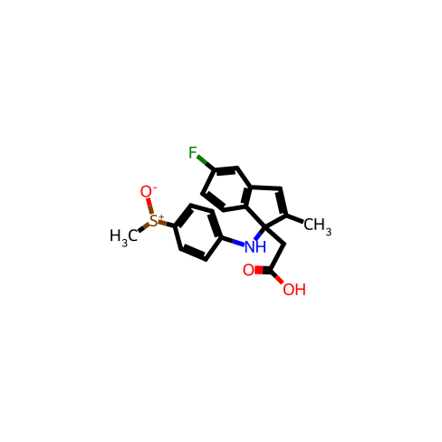 CC1=Cc2cc(F)ccc2C1(CC(=O)O)Nc1ccc([S+](C)[O-])cc1